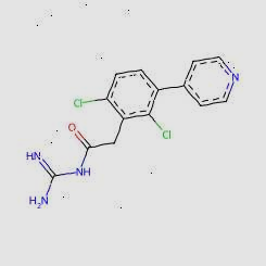 N=C(N)NC(=O)Cc1c(Cl)ccc(-c2ccncc2)c1Cl